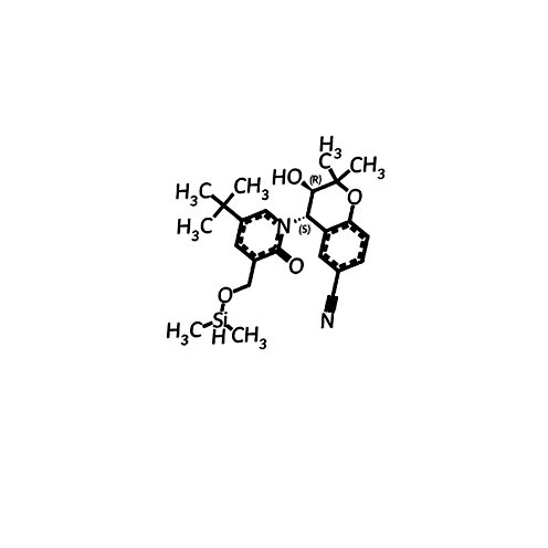 C[SiH](C)OCc1cc(C(C)(C)C)cn([C@H]2c3cc(C#N)ccc3OC(C)(C)[C@@H]2O)c1=O